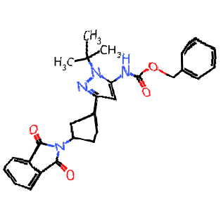 CC(C)(C)n1nc(C2CCC(N3C(=O)c4ccccc4C3=O)C2)cc1NC(=O)OCc1ccccc1